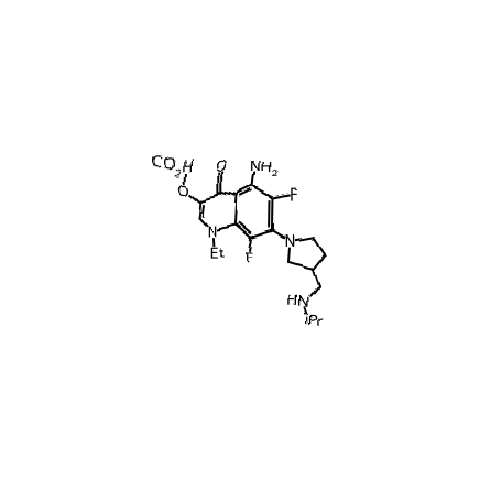 CCn1cc(OC(=O)O)c(=O)c2c(N)c(F)c(N3CCC(CNC(C)C)C3)c(F)c21